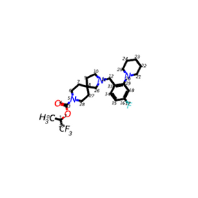 CC(OC(=O)N1CCC2(CCN(Cc3ccc(F)cc3N3CCCCC3)C2)CC1)C(F)(F)F